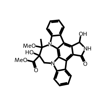 COC(=O)C1(O)Cn2c3ccccc3c3c4c(c5c6ccccc6n(c5c32)C1(C)OC)C(O)NC4=O